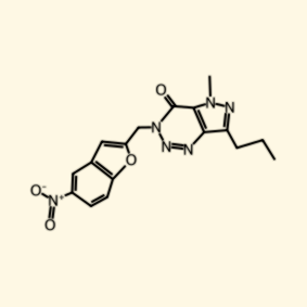 CCCc1nn(C)c2c(=O)n(Cc3cc4cc([N+](=O)[O-])ccc4o3)nnc12